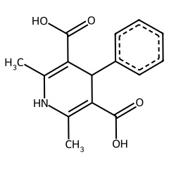 CC1=C(C(=O)O)C(c2ccccc2)C(C(=O)O)=C(C)N1